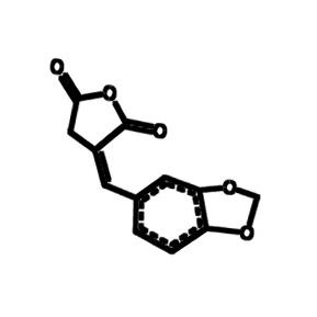 O=C1CC(=Cc2ccc3c(c2)OCO3)C(=O)O1